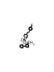 Cc1cccc(-c2ccccc2)c1OCC(=O)N1CCC(CCc2ccc(F)cc2)CC1